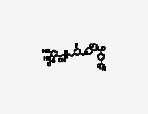 O=C(c1ccc(-c2cnco2)cc1)N1CCOC2(CCN(Cc3cc(F)cc(CCNC[C@H](O)c4ccc(O)c5[nH]c(=O)sc45)c3)CC2)C1